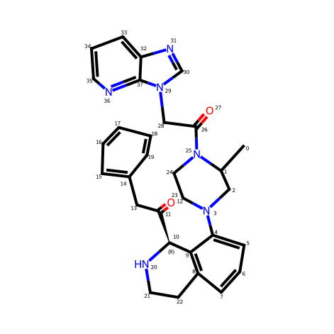 CC1CN(c2cccc3c2[C@H](C(=O)Cc2ccccc2)NCC3)CCN1C(=O)Cn1cnc2cccnc21